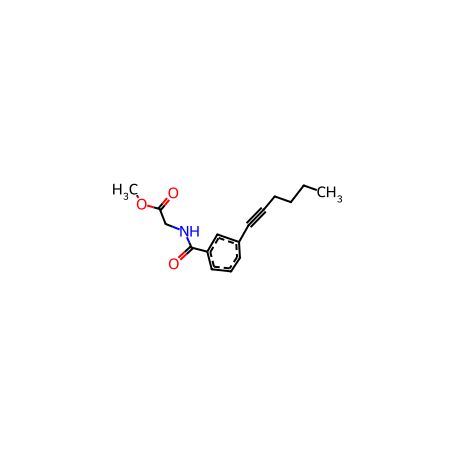 CCCCC#Cc1cccc(C(=O)NCC(=O)OC)c1